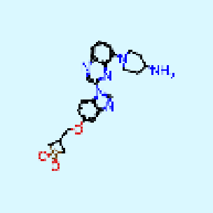 NC1CCN(c2cccc3ncc(-n4cnc5cc(OCC6CS(=O)(=O)C6)ccc54)nc23)CC1